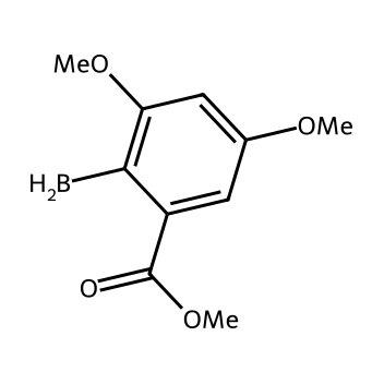 Bc1c(OC)cc(OC)cc1C(=O)OC